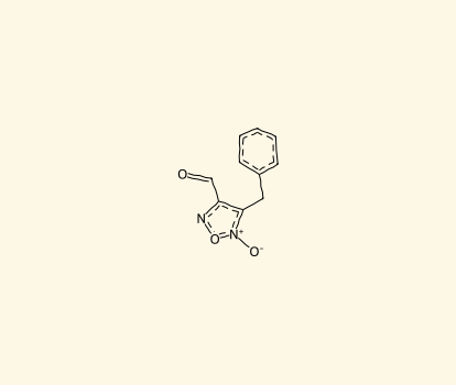 O=Cc1no[n+]([O-])c1Cc1ccccc1